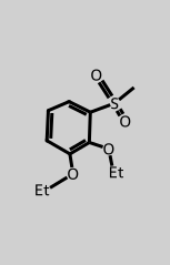 CCOc1cccc(S(C)(=O)=O)c1OCC